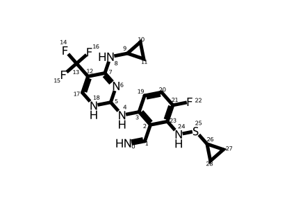 N=Cc1c(NC2N=C(NC3CC3)C(C(F)(F)F)=CN2)ccc(F)c1NSC1CC1